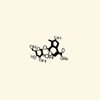 COC(=O)C1=CO[C@@H](O[C@@H]2O[C@H](CO)[C@@H](O)[C@H](O)[C@H]2O)C2=C(C)[C@@H](O)CC12